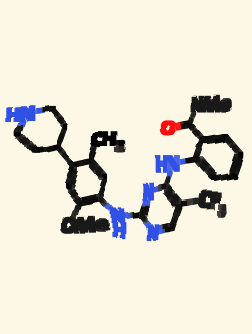 CNC(=O)c1ccccc1Nc1nc(Nc2cc(C)c(C3CCNCC3)cc2OC)ncc1C(F)(F)F